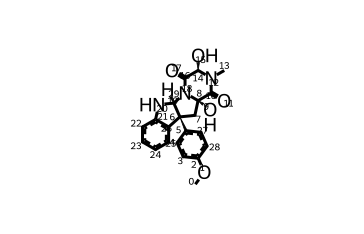 COc1ccc([C@]23C[C@@]4(O)C(=O)N(C)[C@H](O)C(=O)N4[C@H]2Nc2ccccc23)cc1